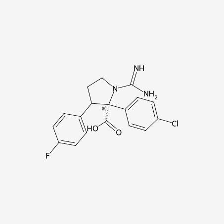 N=C(N)N1CCC(c2ccc(F)cc2)[C@]1(C(=O)O)c1ccc(Cl)cc1